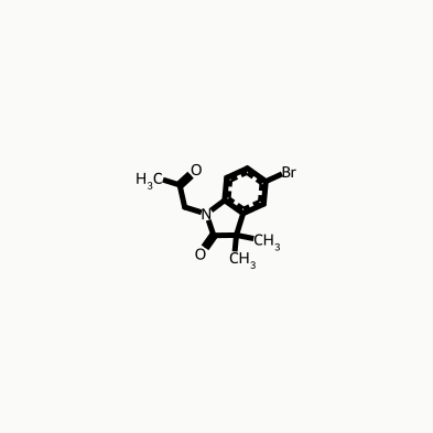 CC(=O)CN1C(=O)C(C)(C)c2cc(Br)ccc21